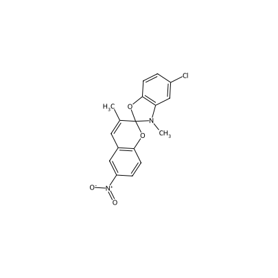 CC1=Cc2cc([N+](=O)[O-])ccc2OC12Oc1ccc(Cl)cc1N2C